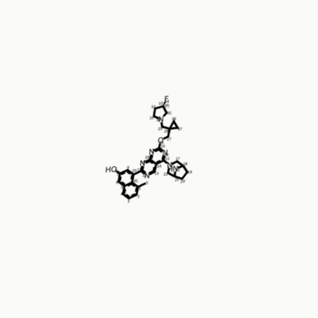 Cc1cccc2cc(O)cc(-c3ncc4c(N5CC6CCC(C5)N6)nc(OCC5(CN6CC[C@@H](F)C6)CC5)nc4n3)c12